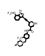 CN1CCN(Cc2ccc(NC(=O)C3=CNCC(C#Cc4n[nH]c5c(OC(F)(F)F)cccc45)=C3)cc2C(F)(F)F)CC1